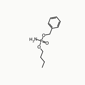 CCCCOP(N)(=O)OCc1ccccc1